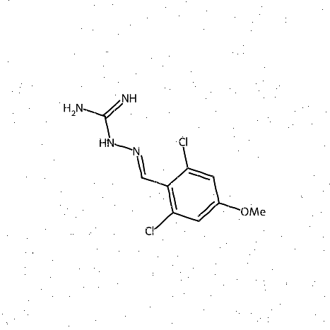 COc1cc(Cl)c(/C=N/NC(=N)N)c(Cl)c1